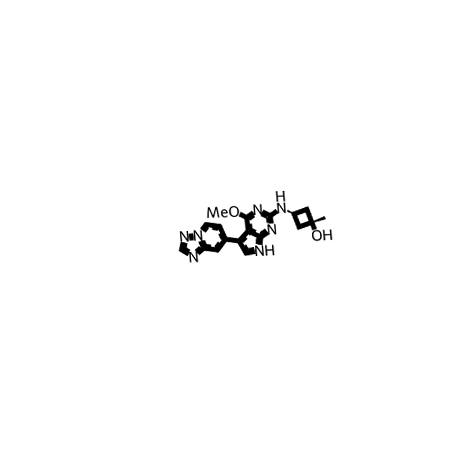 COc1nc(N[C@H]2C[C@@](C)(O)C2)nc2[nH]cc(-c3ccn4ncnc4c3)c12